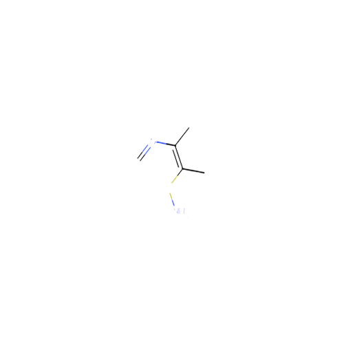 C=NC(C)=C(C)SN